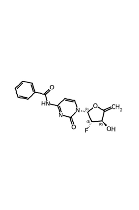 C=C1O[C@@H](n2ccc(NC(=O)c3ccccc3)nc2=O)[C@@H](F)[C@@H]1O